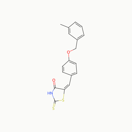 Cc1cccc(COc2ccc(C=C3SC(=S)NC3=O)cc2)c1